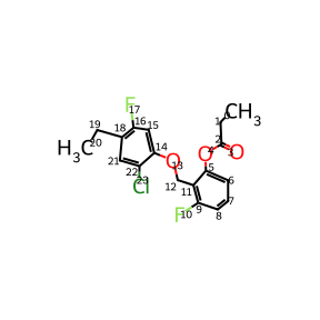 CCC(=O)Oc1cccc(F)c1COc1cc(F)c(CC)cc1Cl